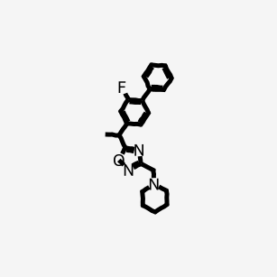 CC(c1ccc(-c2ccccc2)c(F)c1)c1nc(CN2CCCCC2)no1